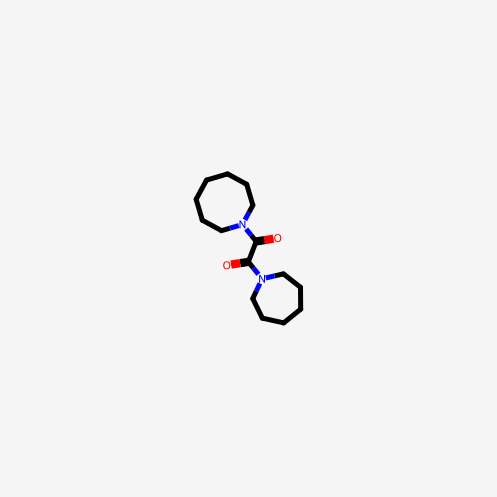 O=C(C(=O)N1CCCCCC1)N1CCCCCCC1